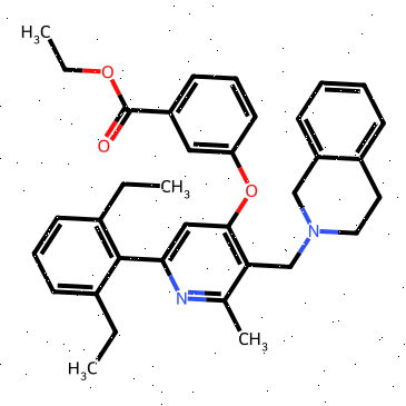 CCOC(=O)c1cccc(Oc2cc(-c3c(CC)cccc3CC)nc(C)c2CN2CCc3ccccc3C2)c1